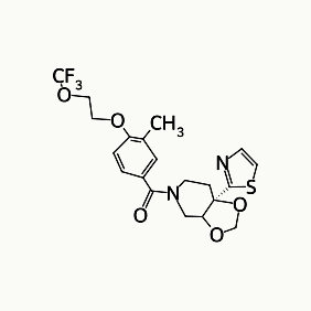 Cc1cc(C(=O)N2CC[C@@]3(c4nccs4)OCOC3C2)ccc1OCCOC(F)(F)F